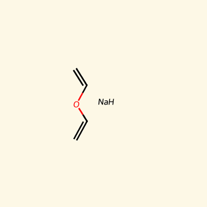 C=COC=C.[NaH]